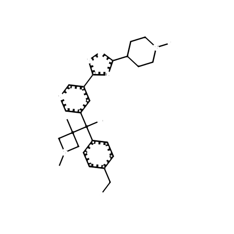 CC(=O)N1CCC(c2nc(-c3cncc(C(O)(c4ccc(CC(C)(C)C)cc4)C4(C)CN(C)C4)c3)no2)CC1